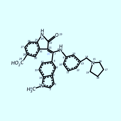 Cn1ccc2cc(/C(Nc3cccc(CN4CCCC4)c3)=C3/C(=O)Nc4ccc(C(=O)O)cc43)ccc21